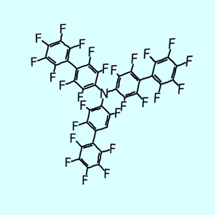 Fc1cc(-c2c(F)c(F)c(F)c(F)c2F)c(F)c(F)c1N(c1c(F)c(F)c(-c2c(F)c(F)c(F)c(F)c2F)c(F)c1F)c1c(F)c(F)c(-c2c(F)c(F)c(F)c(F)c2F)c(F)c1F